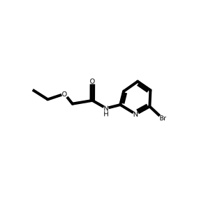 CCOCC(=O)Nc1cccc(Br)n1